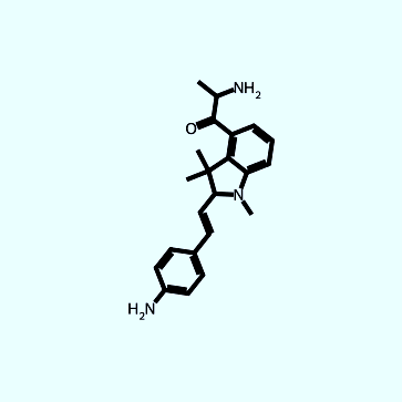 CC(N)C(=O)c1cccc2c1C(C)(C)C(C=Cc1ccc(N)cc1)N2C